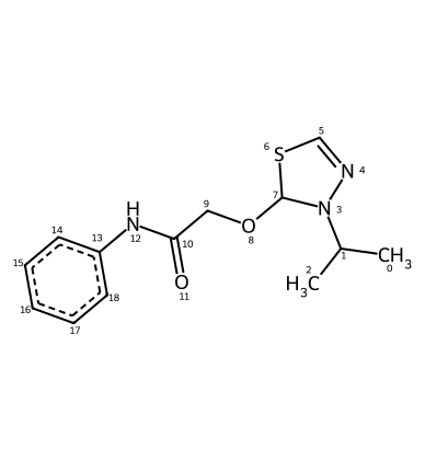 CC(C)N1N=CSC1OCC(=O)Nc1ccccc1